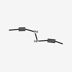 CC#CPPC#CC